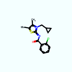 Cc1c(C(C)(C)C)s/c(=N\C(=O)c2ccccc2Cl)n1CC1CC1